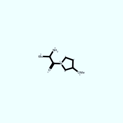 COC1CCN(C(=O)C(N)C(C)(C)C)C1